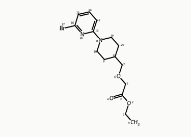 CCOC(=O)COCC1CCN(c2cccc(Br)n2)CC1